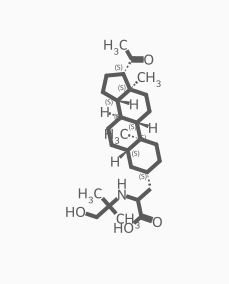 CC(=O)[C@H]1CC[C@H]2[C@@H]3CC[C@H]4C[C@@H](CC(NC(C)(C)CO)C(=O)O)CC[C@]4(C)[C@H]3CC[C@]12C